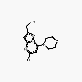 OCc1cc2nc(Cl)cc(N3CCOCC3)n2n1